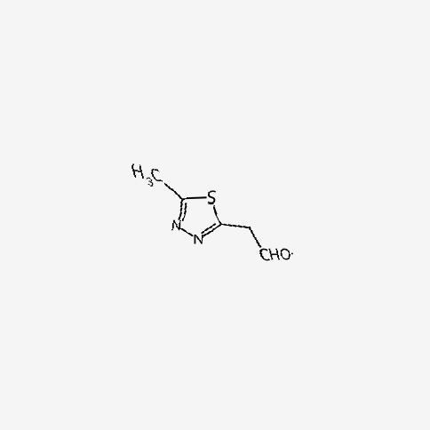 Cc1nnc(C[C]=O)s1